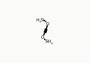 [SiH3]OC#CO[SiH3]